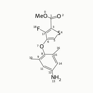 COC(=O)c1scc(Oc2c(C)cc(N)cc2C)c1F